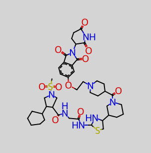 CS(=O)(=O)N1CC(C(=O)NCC(=O)NC2NC(C3CCCN(C(=O)C4CCN(CCOc5ccc6c(c5)C(=O)N(C5CCC(=O)NC5=O)C6=O)CC4)C3)CS2)C(C2CCCCC2)C1